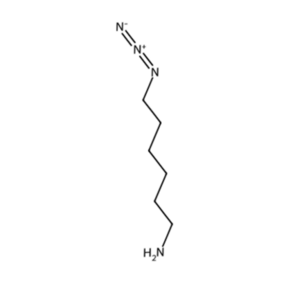 [N-]=[N+]=NCCCCCCN